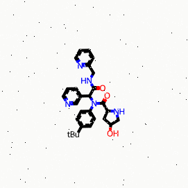 CC(C)(C)c1ccc(N(C(=O)C2CC(O)CN2)C(C(=O)NCc2ccccn2)c2cccnc2)cc1